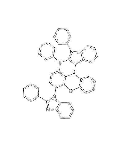 c1ccc(-c2nc3ccccc3n2-c2ccc3c4c2Oc2ccccc2B4c2c(n(-c4ccccc4)c4ccccc24)N3c2ccccc2)cc1